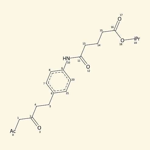 CC(=O)CC(=O)CCc1ccc(NC(=O)CCCC(=O)OC(C)C)cc1